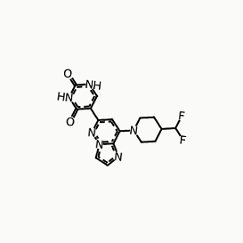 O=c1[nH]cc(-c2cc(N3CCC(C(F)F)CC3)c3nccn3n2)c(=O)[nH]1